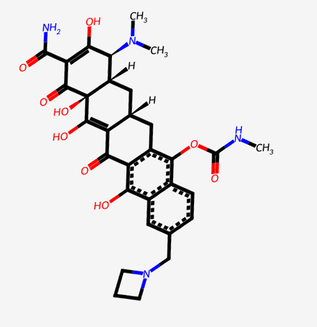 CNC(=O)Oc1c2c(c(O)c3cc(CN4CCC4)ccc13)C(=O)C1=C(O)[C@]3(O)C(=O)C(C(N)=O)=C(O)[C@@H](N(C)C)[C@@H]3C[C@@H]1C2